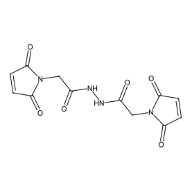 O=C(CN1C(=O)C=CC1=O)NNC(=O)CN1C(=O)C=CC1=O